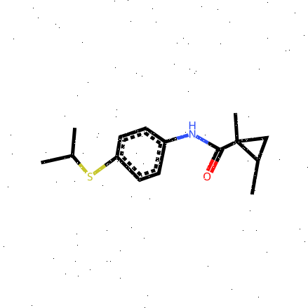 CC(C)Sc1ccc(NC(=O)C2(C)CC2C)cc1